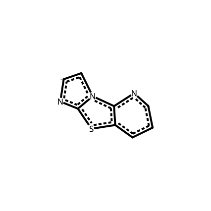 [c]1cn2c(n1)sc1cccnc12